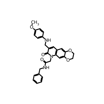 COc1ccc(NCc2cc3cc4c(cc3n(CC(=O)NCc3ccccc3)c2=O)OCCO4)cc1